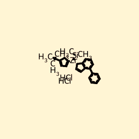 C[Si](C)=[Zr]([C]1=CC=C(C(C)(C)C)C1)[CH]1C=Cc2c(-c3ccccc3)cccc21.Cl.Cl